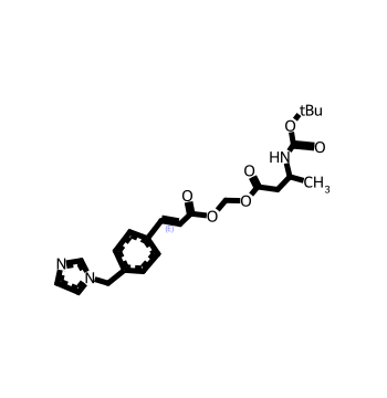 CC(CC(=O)OCOC(=O)/C=C/c1ccc(Cn2ccnc2)cc1)NC(=O)OC(C)(C)C